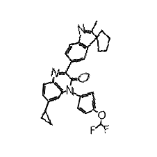 CC1=Nc2ccc(-c3nc4ccc(C5CC5)cc4n(-c4ccc(OC(F)F)cc4)c3=O)cc2C12CCCC2